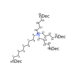 CCCCCCCCCCCCCCCCCCC[N+](CCCCCCCCCCCCCC)(CCCCCCCCCCCCCC)CCCCCCCCCCCCCC